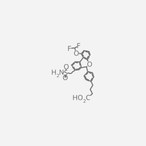 NS(=O)(=O)Cc1ccc2c(c1)C(c1ccc(CCCC(=O)O)cc1)Oc1cccc(OC(F)F)c1-2